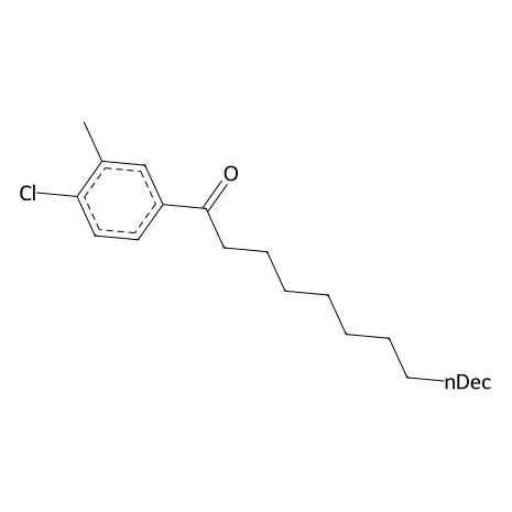 CCCCCCCCCCCCCCCCCC(=O)c1ccc(Cl)c(C)c1